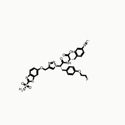 [C-]#[N+]c1ccc(C[C@H](NC(=O)[C@H](Cc2ccc(OCCF)cc2)n2cc(COc3ccc4nc(S(N)(=O)=O)sc4c3)nn2)C(=O)O)cc1